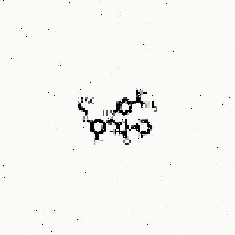 CCc1cc(OCCOC(C)=O)cc([C@H](Nc2ccc(C(=N)N)cc2)c2nn(-c3ncccn3)c(=O)[nH]2)c1